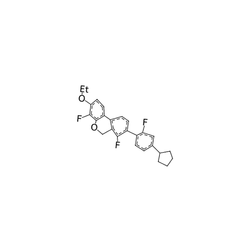 CCOc1ccc2c(c1F)OCc1c-2ccc(-c2ccc(C3CCCC3)cc2F)c1F